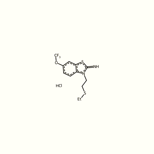 CCSCCn1c(=N)sc2cc(OC(F)(F)F)ccc21.Cl